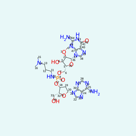 CO[C@@H]1C(O)[C@@H](COP(=O)(NCCCN(C)C)OC2C[C@H](n3cnc4c(N)ncnc43)O[C@@H]2CO)O[C@H]1n1cnc2c(=O)[nH]c(N)nc21